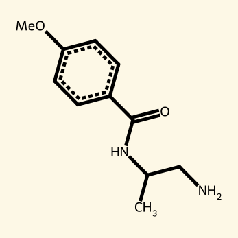 COc1ccc(C(=O)NC(C)CN)cc1